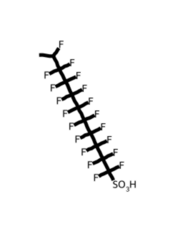 CC(F)C(F)(F)C(F)(F)C(F)(F)C(F)(F)C(F)(F)C(F)(F)C(F)(F)C(F)(F)C(F)(F)S(=O)(=O)O